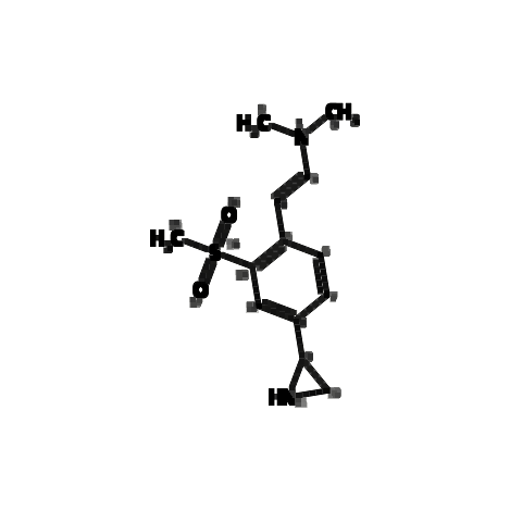 CN(C)/C=C/c1ccc(C2CN2)cc1S(C)(=O)=O